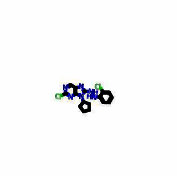 Clc1ncc2nc(NNc3ccccc3Cl)n(C3CCCC3)c2n1